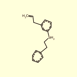 C=CCc1cccc([SiH2]CCc2ccccc2)c1